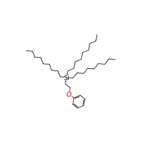 CCCCCCCCC[Si](CCCCCCCCC)(CCCCCCCCC)CCOc1ccccc1